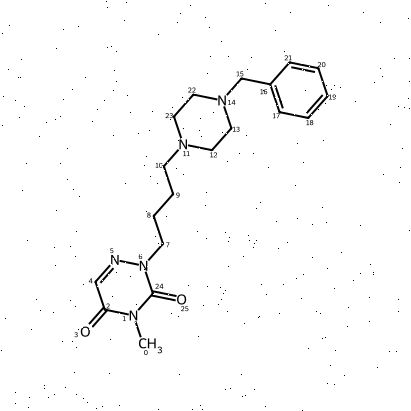 Cn1c(=O)cnn(CCCCN2CCN(Cc3ccccc3)CC2)c1=O